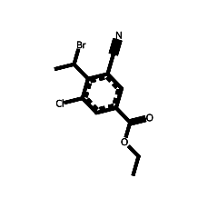 CCOC(=O)c1cc(Cl)c(C(C)Br)c(C#N)c1